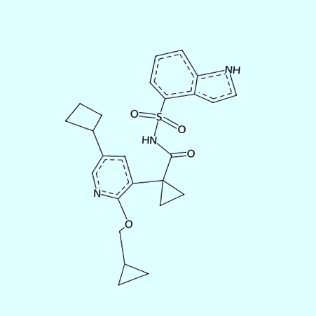 O=C(NS(=O)(=O)c1cccc2[nH]ccc12)C1(c2cc(C3CCC3)cnc2OCC2CC2)CC1